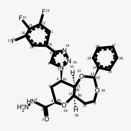 NNC(=O)[C@H]1C[C@@H](n2cc(-c3cc(F)c(F)c(F)c3)nn2)[C@H]2O[C@@H](c3ccccc3)OCC[C@H]2O1